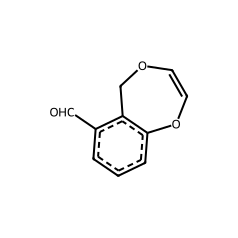 O=Cc1cccc2c1COC=CO2